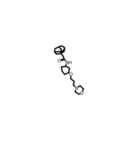 O=C(CC12CC3CC(CC(C3)C1)C2)NC1CCCC(OCCCN2CCOCC2)C1